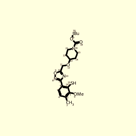 COc1c(C)ccc(-c2noc(COC3CCN(C(=O)OC(C)(C)C)CC3)n2)c1S